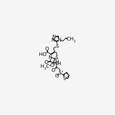 C=CCn1cnnc1SCC1=C(C(=O)O)N2C(=O)[C@](NC(=O)C[S+]([O-])c3cccs3)(OC)[C@@H]2SC1